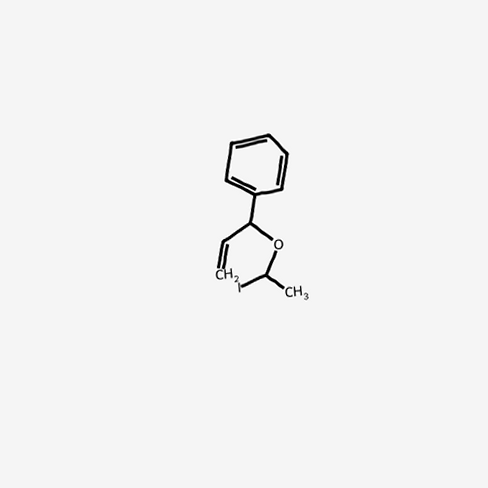 C=CC(OC(C)I)c1ccccc1